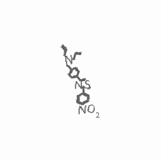 C=CCN(CC=C)Cc1ccc(-c2csc(-c3ccc([N+](=O)[O-])cc3)n2)cc1